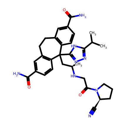 CC(C)c1nnc(C2(C[C@@H](C)NCC(=O)N3CCC[C@H]3C#N)c3ccc(C(N)=O)cc3CCc3cc(C(N)=O)ccc32)[nH]1